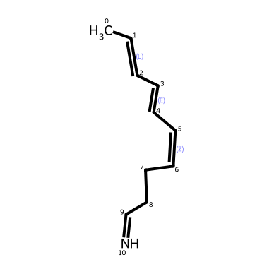 C/C=C/C=C/C=C\CCC=N